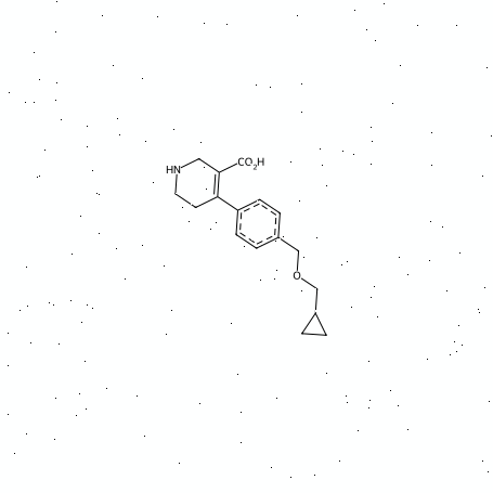 O=C(O)C1=C(c2ccc(COCC3CC3)cc2)CCNC1